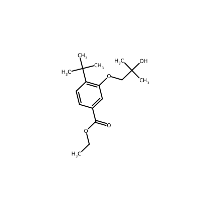 CCOC(=O)c1ccc(C(C)(C)C)c(OCC(C)(C)O)c1